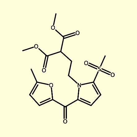 COC(=O)C(CCn1c(C(=O)c2ccc(C)o2)ccc1S(C)(=O)=O)C(=O)OC